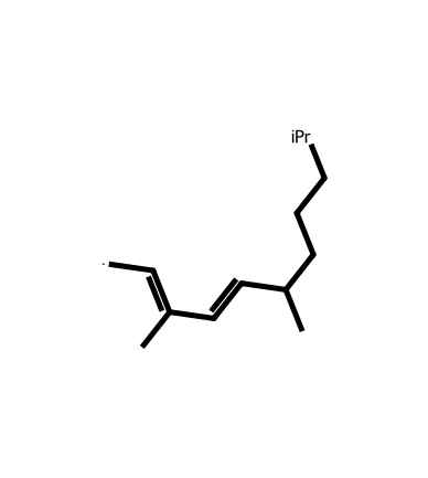 [CH2]C=C(C)C=CC(C)CCCC(C)C